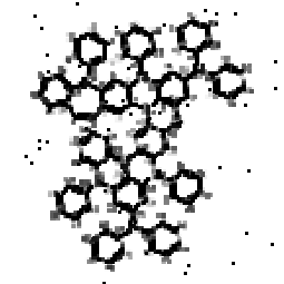 C1=Cc2cc3c(cc2N(c2ccccc2)c2ccccc21)N(c1ccccc1)c1cc(N(c2ccccc2)c2ccccc2)cc2c1B3c1cc3c(cc1O2)N(c1ccccc1)c1cc(N(c2ccccc2)c2ccccc2)cc2c1B3c1ccccc1N2c1ccccc1